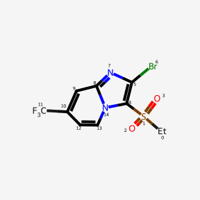 CCS(=O)(=O)c1c(Br)nc2cc(C(F)(F)F)ccn12